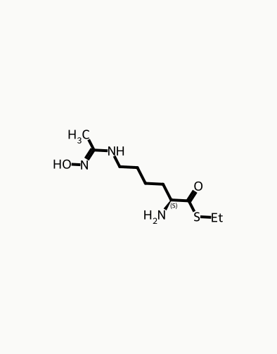 CCSC(=O)[C@@H](N)CCCCNC(C)=NO